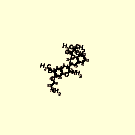 COc1cc(CN(C(N)=O)[C@H](COC(=O)C(C)(C)C)Cc2ccccc2)ccc1OCCN